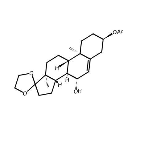 CC(=O)O[C@@H]1CC[C@@]2(C)C(=C[C@H](O)[C@@H]3[C@@H]2CC[C@@]2(C)[C@H]3CCC23OCCO3)C1